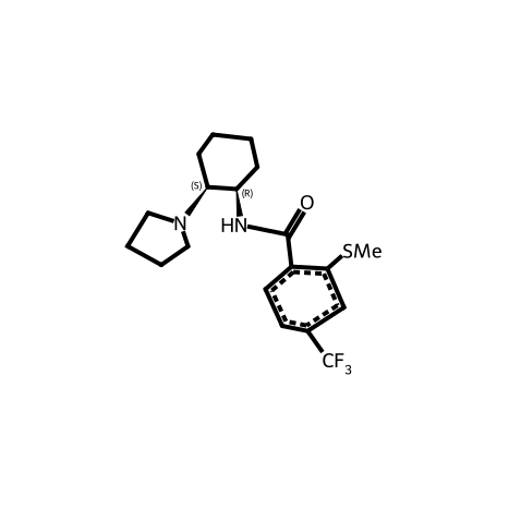 CSc1cc(C(F)(F)F)ccc1C(=O)N[C@@H]1CCCC[C@@H]1N1CCCC1